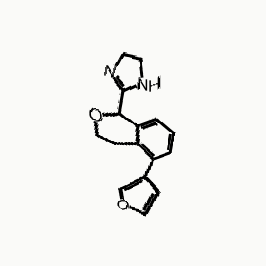 c1cc(-c2ccoc2)c2c(c1)C(C1=NCCN1)OCC2